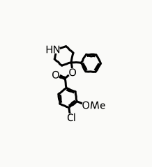 COc1cc(C(=O)OC2(c3ccccc3)CCNCC2)ccc1Cl